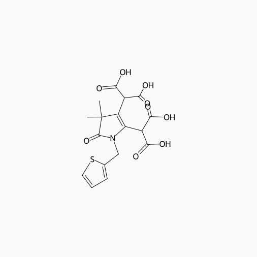 CC1(C)C(=O)N(Cc2cccs2)C(C(C(=O)O)C(=O)O)=C1C(C(=O)O)C(=O)O